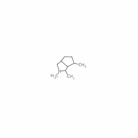 CC1CCC2CN(C)C(C)C12